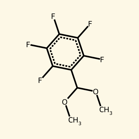 COC(OC)c1c(F)c(F)c(F)c(F)c1F